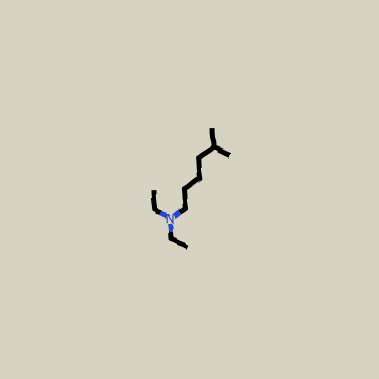 CCN(CC)CCCCC(C)C